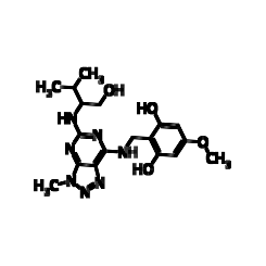 COc1cc(O)c(CNc2nc(NC(CO)C(C)C)nc3c2nnn3C)c(O)c1